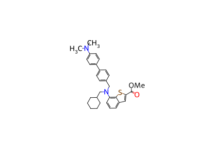 COC(=O)c1cc2cccc(N(Cc3ccc(-c4ccc(N(C)C)cc4)cc3)CC3CCCCC3)c2s1